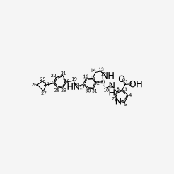 O=C(O)c1ccncc1NC[C@H]1NCCc2cc(NCc3ccc(C4CCC4)cc3)ccc21